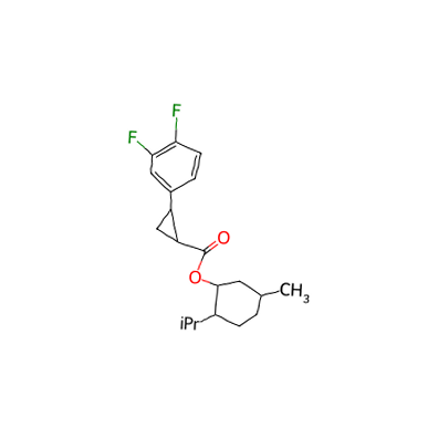 CC1CCC(C(C)C)C(OC(=O)C2CC2c2ccc(F)c(F)c2)C1